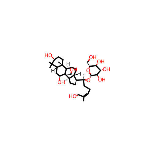 C/C(=C/CC[C@](C)(O[C@@H]1O[C@H](CO)[C@@H](O)[C@H](O)[C@H]1O)[C@H]1CC[C@]2(C)[C@@H]1CC[C@@H]1[C@@]3(C)CC[C@H](O)C(C)(C)[C@@H]3C[C@H](O)[C@]12CO)CO